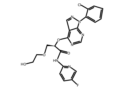 O=C(Nc1ccc(F)cn1)[C@@H](COCCO)Oc1ncnc2c1cnn2-c1ccccc1Cl